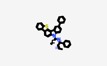 C=C=C(/N=C(\C=C/C)c1ccccc1)n1c2ccc(-c3ccccc3)cc2c2c3sc4ccccc4c3ccc21